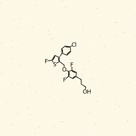 OCCCc1cc(F)c(OCc2sc(F)cc2-c2ccc(Cl)cc2)c(F)c1